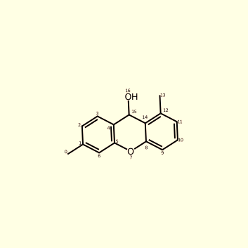 Cc1ccc2c(c1)Oc1cccc(C)c1C2O